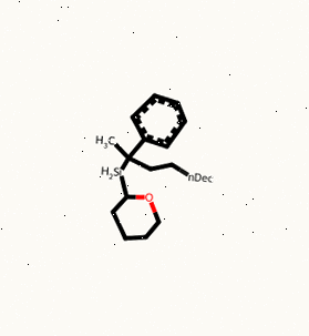 CCCCCCCCCCCCC(C)([SiH2]C1CCCCO1)c1ccccc1